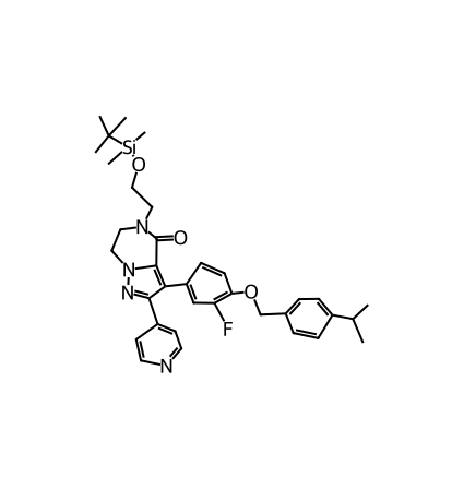 CC(C)c1ccc(COc2ccc(-c3c(-c4ccncc4)nn4c3C(=O)N(CCO[Si](C)(C)C(C)(C)C)CC4)cc2F)cc1